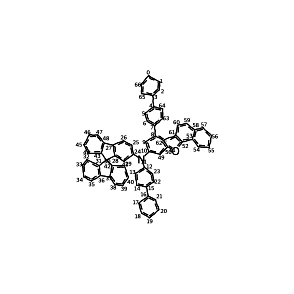 c1ccc(-c2ccc(-c3cc(N(c4ccc(-c5ccccc5)cc4)c4ccc5c(c4)C4(c6ccccc6-c6ccccc64)c4ccccc4-5)cc4oc5c6ccccc6ccc5c34)cc2)cc1